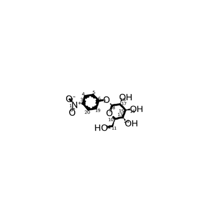 O=[N+]([O-])c1ccc(O[C@H]2O[C@H](CO)[C@@H](O)[C@H](O)[C@H]2O)cc1